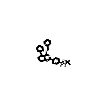 CC(C)(C)NS(=O)(=O)c1ccc(-c2nc(NCc3ccccn3)c3c(-c4ccccc4)cccc3n2)cc1